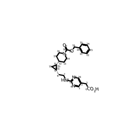 O=C(O)Cc1cnc(NCC[C@@H]2C[C@@H]2C2CCN(C(=O)OCc3ccccc3)CC2)nc1